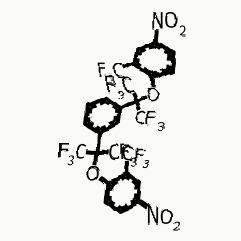 O=[N+]([O-])c1ccc(OC(c2cccc(C(Oc3ccc([N+](=O)[O-])cc3C(F)(F)F)(C(F)(F)F)C(F)(F)F)c2)(C(F)(F)F)C(F)(F)F)c(C(F)(F)F)c1